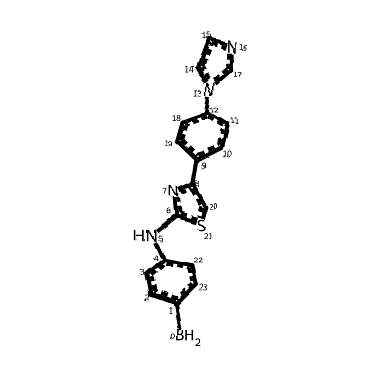 Bc1ccc(Nc2nc(-c3ccc(-n4ccnc4)cc3)cs2)cc1